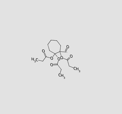 CCC(=O)OC1([C]=O)CCCCCC1(OC(=O)CC)OC(=O)CC